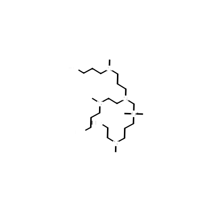 CN(CCO)CCC[N+](C)(C)CN(CCCN(C)CCCO)CCN(C)CCCO